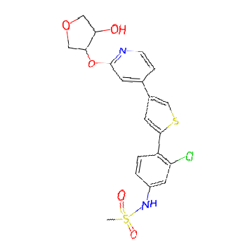 CS(=O)(=O)Nc1ccc(-c2cc(-c3ccnc(OC4COCC4O)c3)cs2)c(Cl)c1